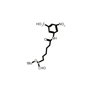 CC(C)(C)ON(C=O)CCCCCC(=O)Nc1cc(C(=O)O)cc([N+](=O)[O-])c1